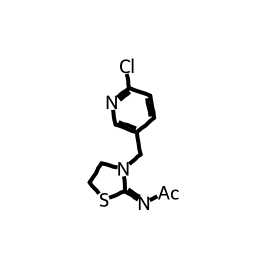 CC(=O)/N=C1/SCCN1Cc1ccc(Cl)nc1